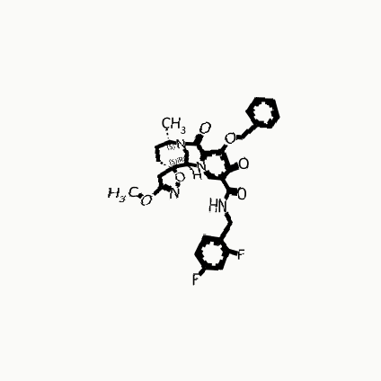 COC1=NO[C@@]2(CC[C@H](C)N3C[C@H]2n2cc(C(=O)NCc4ccc(F)cc4F)c(=O)c(OCc4ccccc4)c2C3=O)C1